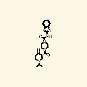 CC(C)N1CCN[C@@H](C(=O)N2CCN(C(=O)Nc3nc4ccccc4s3)CC2)C1